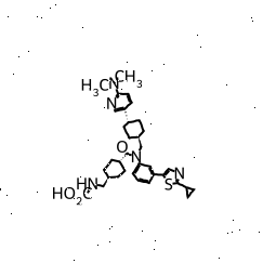 CN(C)c1ccc([C@H]2CC[C@H](CN(c3cccc(-c4cnc(C5CC5)s4)c3)C(=O)[C@H]3CC[C@H](CNC(=O)O)CC3)CC2)cn1